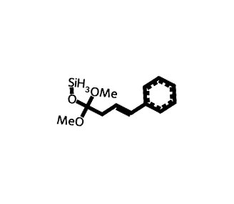 COC(CC=Cc1ccccc1)(OC)O[SiH3]